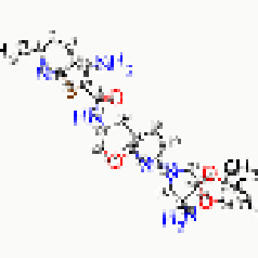 Cc1ccc2c(N)c(C(=O)NC3COc4nc(N5CC(N)C6(C5)OCC(C)(C)O6)ccc4C3)sc2n1